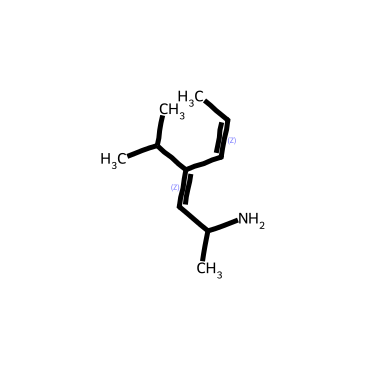 C/C=C\C(=C/C(C)N)C(C)C